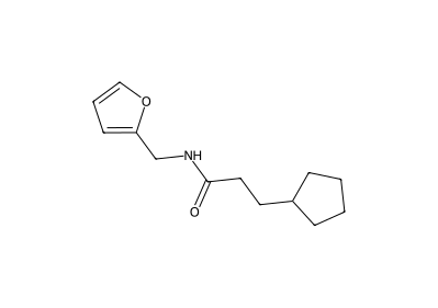 O=C(CCC1CCCC1)NCc1ccco1